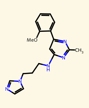 COc1ccccc1-c1cc(NCCCn2ccnc2)nc(C)n1